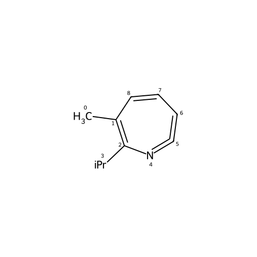 CC1=C(C(C)C)N=C=CC=C1